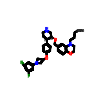 COCCCN1CCOc2ccc(CO[C@H]3CNCC[C@@H]3c3ccc(OC4CN(c5cc(F)cc(F)c5)C4)cc3)cc21